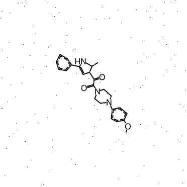 COc1ccc(N2CCN(C(=O)C(=O)C3C=C(c4ccccc4)NC3C)CC2)cc1